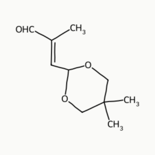 CC(C=O)=CC1OCC(C)(C)CO1